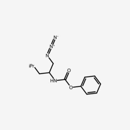 CC(C)CC(CN=[N+]=[N-])NC(=O)Oc1ccccc1